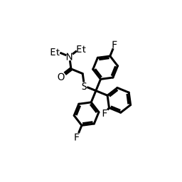 CCN(CC)C(=O)CSC(c1ccc(F)cc1)(c1ccc(F)cc1)c1ccccc1F